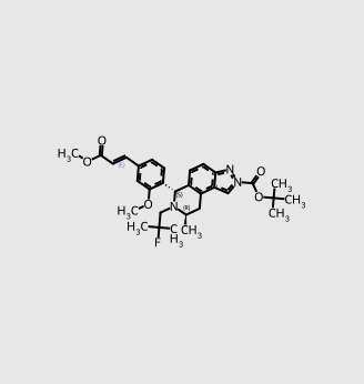 COC(=O)/C=C/c1ccc([C@@H]2c3ccc4nn(C(=O)OC(C)(C)C)cc4c3C[C@@H](C)N2CC(C)(C)F)c(OC)c1